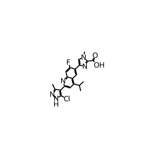 Cc1n[nH]c(Cl)c1-c1cc(C(C)C)c2cc(-c3cn(C)c(C(=O)O)n3)c(F)cc2n1